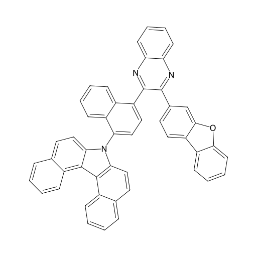 c1ccc2c(c1)ccc1c2c2c3ccccc3ccc2n1-c1ccc(-c2nc3ccccc3nc2-c2ccc3c(c2)oc2ccccc23)c2ccccc12